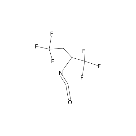 O=C=NC(CC(F)(F)F)C(F)(F)F